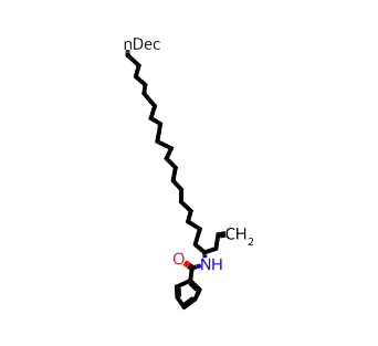 C=CCC(CCCCCCCCCCCCCCCCCCCCCCCCCCCCC)NC(=O)c1ccccc1